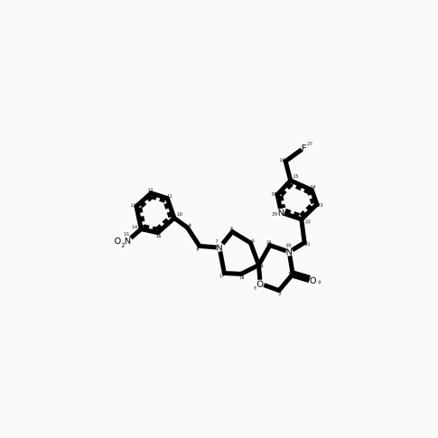 O=C1COC2(CCN(CCc3cccc([N+](=O)[O-])c3)CC2)CN1Cc1ccc(CF)cn1